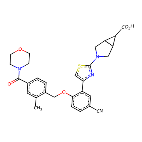 Cc1cc(C(=O)N2CCOCC2)ccc1COc1ccc(C#N)cc1-c1csc(N2CC3C(C2)C3C(=O)O)n1